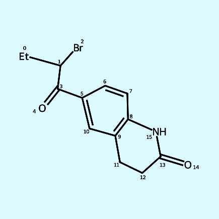 CCC(Br)C(=O)c1ccc2c(c1)CCC(=O)N2